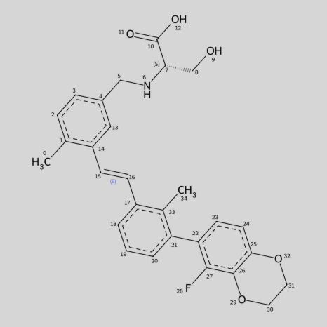 Cc1ccc(CN[C@@H](CO)C(=O)O)cc1/C=C/c1cccc(-c2ccc3c(c2F)OCCO3)c1C